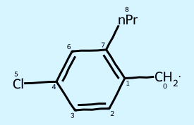 [CH2]c1ccc(Cl)cc1CCC